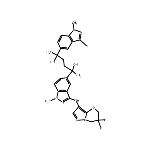 Cn1nc(I)c2cc(C(C)(O)CCC(C)(O)c3ccc4c(c3)c(Nc3cnn5c3OCC(F)(F)C5)nn4C)ccc21